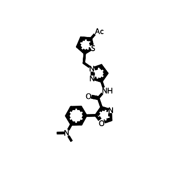 CC(=O)c1ccc(Cn2ccc(NC(=O)c3ncoc3-c3cccc(N(C)C)c3)n2)s1